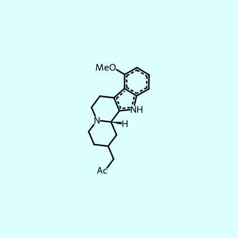 COc1cccc2[nH]c3c(c12)CCN1CCC(CC(C)=O)C[C@@H]31